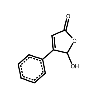 O=C1C=C(c2ccccc2)C(O)O1